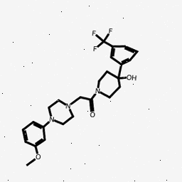 COc1cccc(N2CCN(CC(=O)N3CCC(O)(c4cccc(C(F)(F)F)c4)CC3)CC2)c1